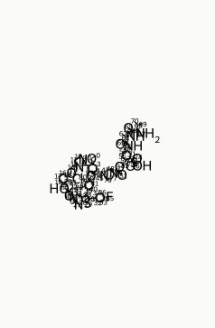 COc1ccccc1-c1nccc(COc2ccccc2CC(Cc2ncnc3sc(-c4ccc(F)cc4)c(-c4ccc(OCCN5CCN(C(=O)OCc6ccc(NC(=O)C(C)NC(=O)C(N)C(C)C)cc6S(=O)(=O)O)CC5)c(Cl)c4C)c23)C(=O)O)n1